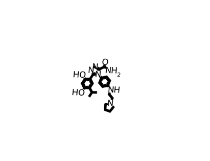 CC(C)c1cc(-c2nnc(C(N)=O)n2-c2ccc(NCCN3CCCC3)cc2)c(O)cc1O